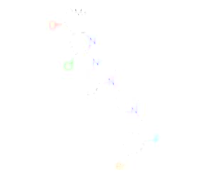 CC[C@H]1CN(c2ncc(C(=O)OC)cc2Cl)CCN1C1CCN(Cc2ccc(Br)cc2F)CC1